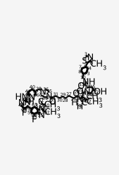 Cc1ncsc1-c1ccc(CNC(=O)[C@@H]2C[C@@H](O)CN2C(=O)C(NC(=O)CCCCCCC(=O)N2CCN(Cc3ccc(Nc4ncc(F)c(-c5cc(F)c6nc(C)n(C(C)C)c6c5)n4)nc3)CC2)C(C)(C)C)cc1